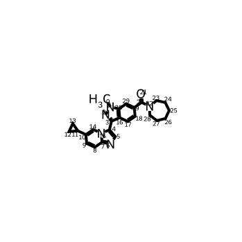 Cn1nc(-c2cnc3ccc(C4CC4)cn23)c2ccc(C(=O)N3CCCCCC3)cc21